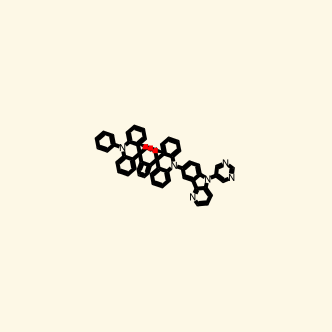 c1ccc(N2c3ccccc3C3(c4ccccc42)c2ccccc2C2(c4ccccc4N(c4ccc5c(c4)c4ncccc4n5-c4cncnc4)c4ccccc42)c2ccccc23)cc1